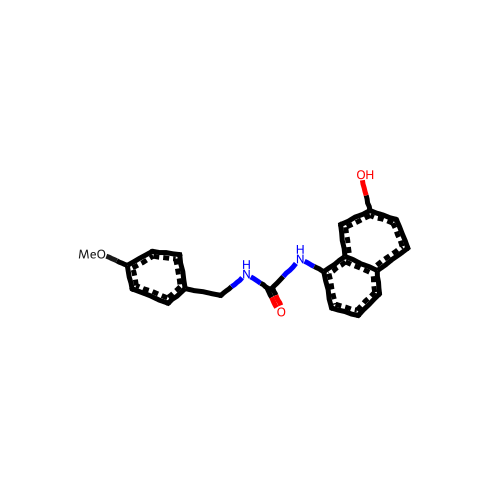 COc1ccc(CNC(=O)Nc2cccc3ccc(O)cc23)cc1